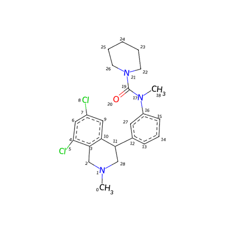 CN1Cc2c(Cl)cc(Cl)cc2C(c2cccc(N(C)C(=O)N3CCCCC3)c2)C1